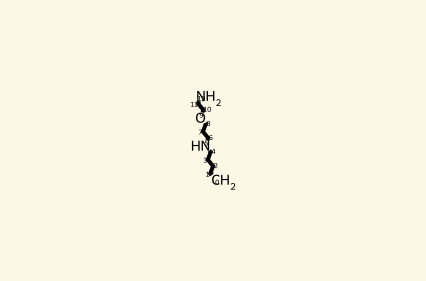 C=CCCCNCCCOCCN